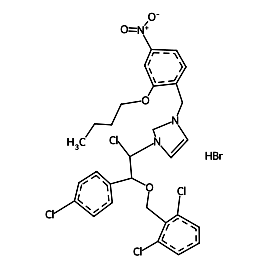 Br.CCCCOc1cc([N+](=O)[O-])ccc1CN1C=CN(C(Cl)C(OCc2c(Cl)cccc2Cl)c2ccc(Cl)cc2)C1